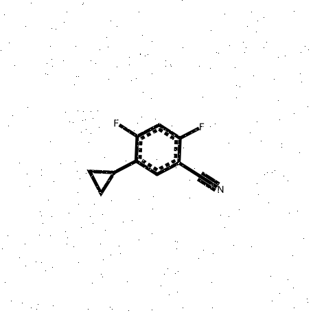 N#Cc1cc(C2CC2)c(F)cc1F